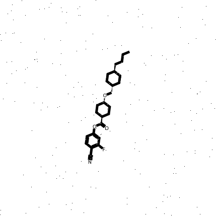 CCCC[C@H]1CC[C@H](CO[C@H]2CC[C@H](C(=O)Oc3ccc(C#N)c(F)c3)CC2)CC1